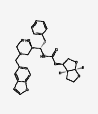 CC(C)CN(Cc1ccc2occc2c1)C[C@@H](O)[C@H](Cc1ccccc1)NC(=O)O[C@H]1CO[C@H]2OCC[C@H]21